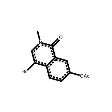 CC(=O)Oc1ccc2c(Br)cn(C)c(=O)c2c1